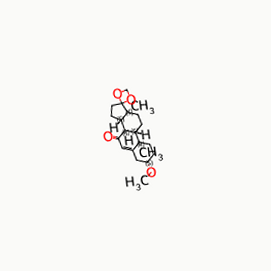 CO[C@H]1CC[C@@]2(C)C(=CC(=O)[C@@H]3[C@@H]2CC[C@@]2(C)[C@H]3CCC23OCO3)C1